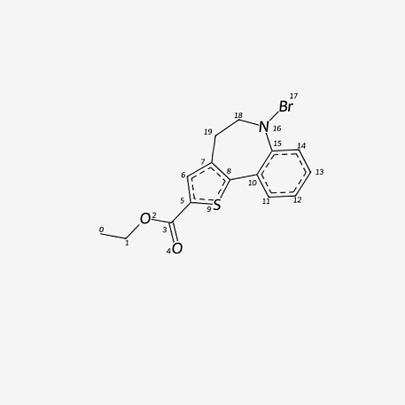 CCOC(=O)c1cc2c(s1)-c1ccccc1N(Br)CC2